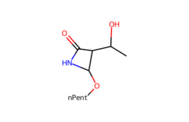 CCCCCOC1NC(=O)C1C(C)O